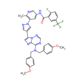 COc1ccc(CN(Cc2ccc(OC)cc2)c2ncnn3c(-c4cnn(-c5cc(NC(=O)c6cc(C(F)(F)F)ccc6F)cnc5C)c4)cnc23)cc1